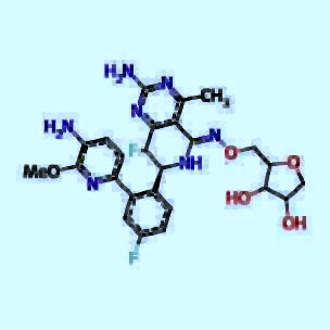 COc1nc(-c2cc(F)ccc2[C@@H]2N/C(=N\OCC3OCC(O)C3O)c3c(C)nc(N)nc3C2F)ccc1N